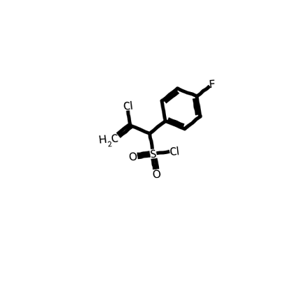 C=C(Cl)C(c1ccc(F)cc1)S(=O)(=O)Cl